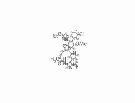 CCOc1cn(-c2ccc(Cl)cc2-c2cc(=O)n(C3CCCC(C)C(=O)Nc4cnn(C(F)F)c4-c4ccnc3c4)cc2OC)nn1